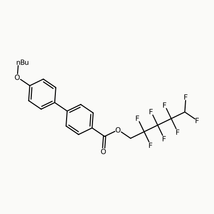 CCCCOc1ccc(-c2ccc(C(=O)OCC(F)(F)C(F)(F)C(F)(F)C(F)F)cc2)cc1